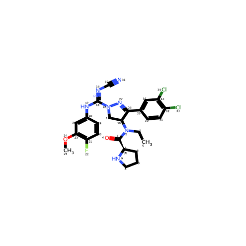 CCN(C(=O)[C@H]1CCCN1)C1CN(/C(=N\C#N)Nc2ccc(F)c(OC)c2)N=C1c1ccc(Cl)c(Cl)c1